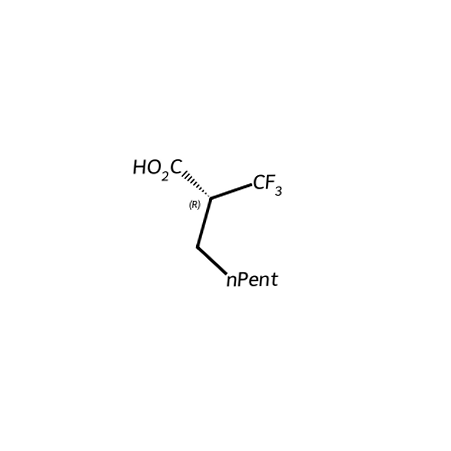 CCCCCC[C@H](C(=O)O)C(F)(F)F